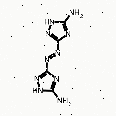 Nc1nc(N=Nc2n[nH]c(N)n2)n[nH]1